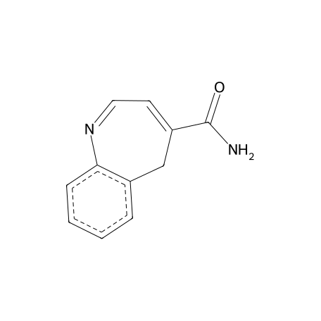 NC(=O)C1=CC=Nc2ccccc2C1